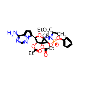 CCOC(=O)[C@H](C)N[P@@](=O)(Oc1ccccc1)OC1[C@@]2(C#N)O[C@@H](c3ccc4c(N)ncnn34)[C@H](OC(=O)CC)[C@@]12OC(=O)CC